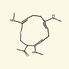 CNC1=CCC=C(NC)C(C(C)=O)CCC(NC)=CCC1